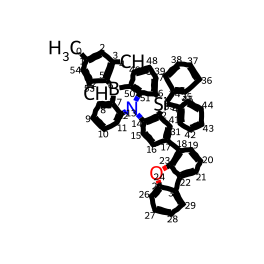 Cc1cc(C)c(B2c3ccccc3N3c4ccc(-c5cccc6c5oc5ccccc56)cc4[Si](c4ccccc4)(c4ccccc4)c4cccc2c43)c(C)c1